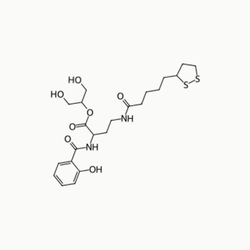 O=C(CCCCC1CCSS1)NCCC(NC(=O)c1ccccc1O)C(=O)OC(CO)CO